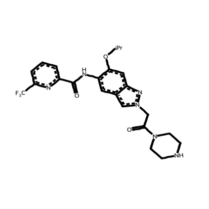 CC(C)Oc1cc2nn(CC(=O)N3CCNCC3)cc2cc1NC(=O)c1cccc(C(F)(F)F)n1